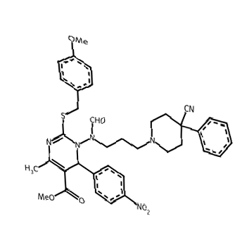 COC(=O)C1=C(C)N=C(SCc2ccc(OC)cc2)N(N(C=O)CCCN2CCC(C#N)(c3ccccc3)CC2)C1c1ccc([N+](=O)[O-])cc1